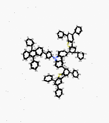 C1=C(c2ccccc2)CC(c2ccccc2)c2sc3c(-c4ccc5c(c4)c4cc(-c6cc(-c7ccccc7)cc7c6sc6c(-c8ccccc8)cc(-c8ccccc8)cc67)ccc4n5-c4ccc(-c5ccc6c(-c7ccccc7)c7ccccc7c(-c7ccccc7)c6c5)cc4)cc(-c4ccccc4)cc3c21